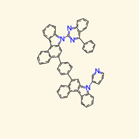 c1ccc(-c2nc(-n3c4ccccc4c4c5ccccc5c(-c5ccc(-c6cc7c(c8ccccc68)c6ccccc6n7-c6cccnc6)cc5)cc43)nc3ccccc23)cc1